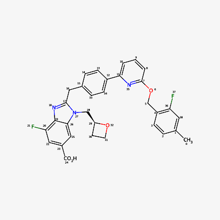 Cc1ccc(COc2cccc(-c3ccc(Cc4nc5c(F)cc(C(=O)O)cc5n4C[C@@H]4CCO4)cc3)n2)c(F)c1